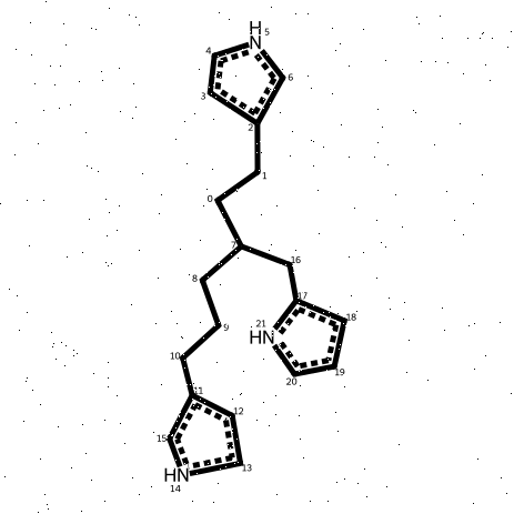 [CH](Cc1cc[nH]c1)C(CCCc1cc[nH]c1)Cc1ccc[nH]1